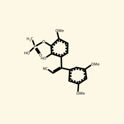 COc1cc(OC)cc(/C(=C/C#N)c2ccc(OC)c(OP(C)(=O)O)c2O)c1